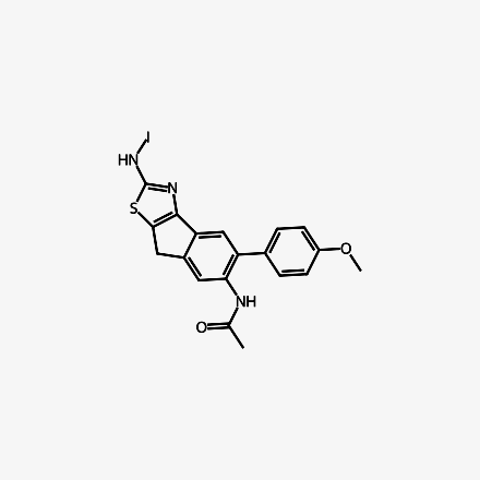 COc1ccc(-c2cc3c(cc2NC(C)=O)Cc2sc(NI)nc2-3)cc1